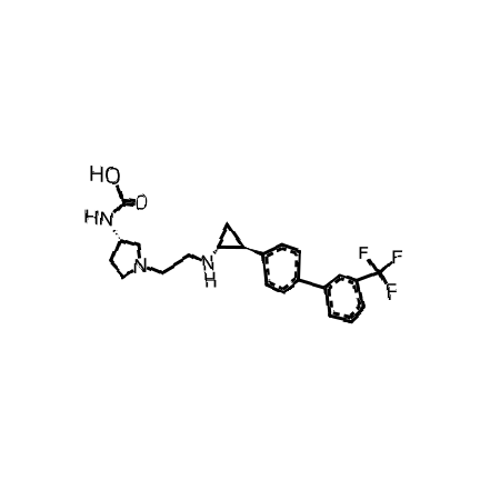 O=C(O)N[C@H]1CCN(CCN[C@@H]2C[C@H]2c2ccc(-c3cccc(C(F)(F)F)c3)cc2)C1